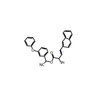 CC(C)C(/C=C/c1ccc2ccccc2c1)C(=O)OC(C#N)c1cccc(Oc2ccccc2)c1